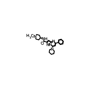 CN1CCC(NC(=O)c2cc3nc(-c4ccccc4)cc(N4CCCCC4)n3n2)CC1